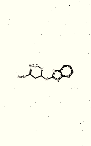 CNC(=O)CC(OC(=O)O)Sc1nc2ccccc2o1